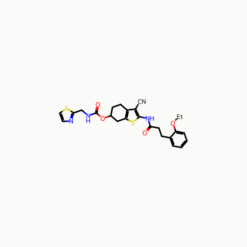 CCOc1ccccc1CCC(=O)Nc1sc2c(c1C#N)CCC(OC(=O)NCc1nccs1)C2